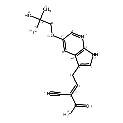 CC(=O)/C(C#N)=C/Cc1c[nH]c2ncc(OCC(C)(C)O)cc12